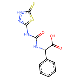 O=C(Nc1n[nH]c(=S)s1)N[C@H](C(=O)O)c1ccccc1